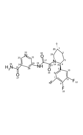 C[C@@H]1CC[C@@H](c2cc(F)c(F)c(F)c2)N(C(=O)C(=O)Nc2cncc(C(N)=O)c2)C1